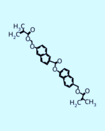 C=C(C)C(=O)OCOc1ccc2cc(C(=O)Oc3ccc4cc(COC(=O)C(=C)C)ccc4c3)ccc2c1